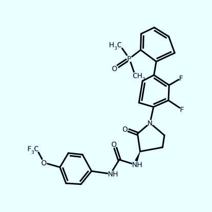 CP(C)(=O)c1ccccc1-c1ccc(N2CC[C@@H](NC(=O)Nc3ccc(OC(F)(F)F)cc3)C2=O)c(F)c1F